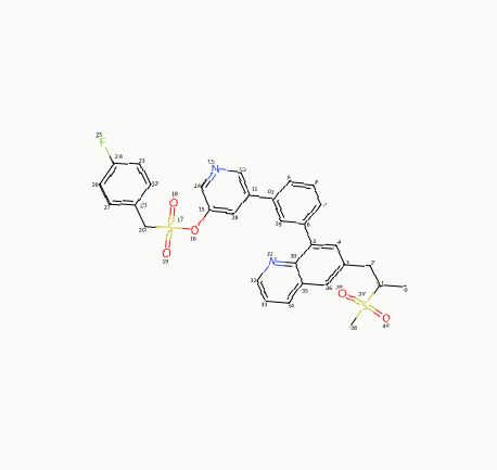 CC(Cc1cc(-c2cccc(-c3cncc(OS(=O)(=O)Cc4ccc(F)cc4)c3)c2)c2ncccc2c1)S(C)(=O)=O